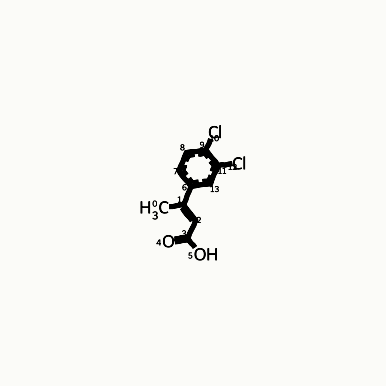 CC(=CC(=O)O)c1ccc(Cl)c(Cl)c1